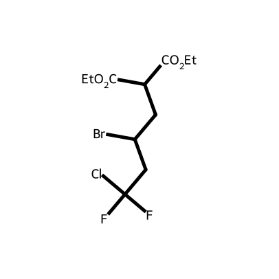 CCOC(=O)C(CC(Br)CC(F)(F)Cl)C(=O)OCC